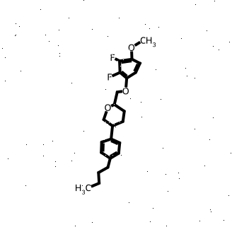 CCCCc1ccc(C2CCC(COc3ccc(OC)c(F)c3F)OC2)cc1